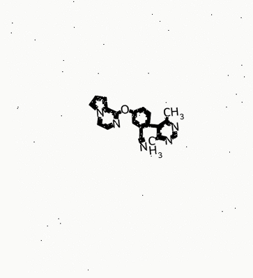 Cc1ncnc(C)c1-c1ccc(Oc2nccn3cccc23)cc1C#N